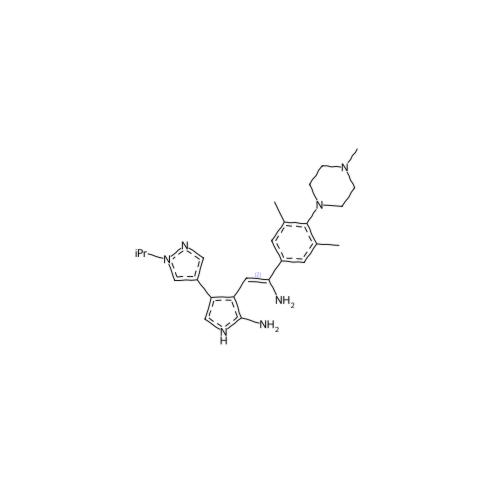 Cc1cc(/C(N)=C/c2c(-c3cnn(C(C)C)c3)c[nH]c2N)cc(C)c1N1CCN(C)CC1